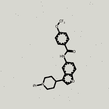 CC(C)N1CCC(c2coc3ccc(NC(=O)c4ccc(OC(F)(F)F)cc4)cc23)CC1